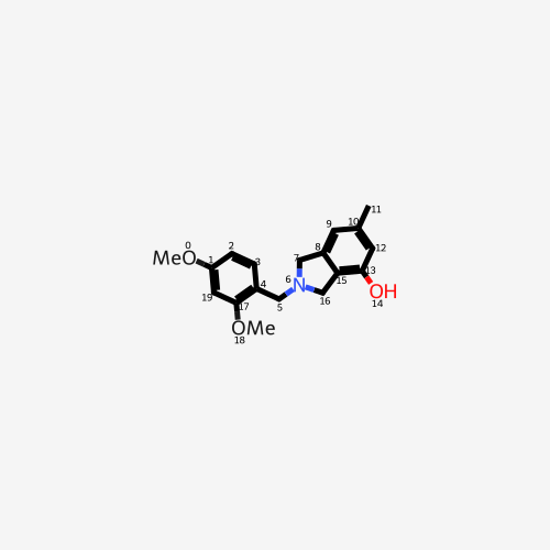 COc1ccc(CN2Cc3cc(C)cc(O)c3C2)c(OC)c1